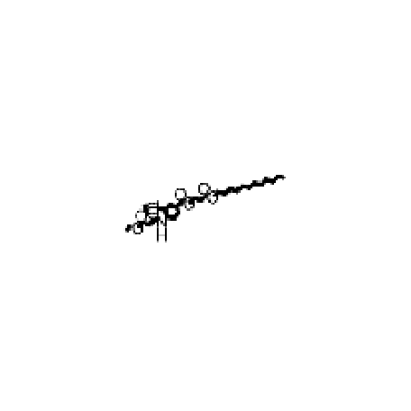 CCCCCCCCCCCCOC(=O)CCOC(=O)c1ccc(N/C(=C/C(=O)OCC)OCC)c(Cl)c1